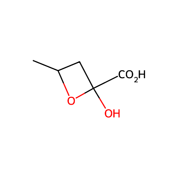 CC1CC(O)(C(=O)O)O1